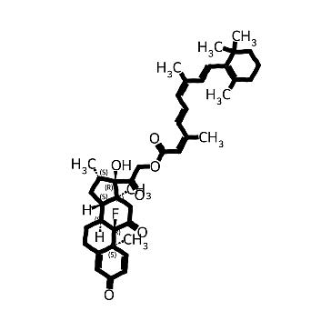 CC(C=CC1=C(C)CCCC1(C)C)=CC=CC(C)=CC(=O)OCC(=O)[C@@]1(O)[C@@H](C)C[C@H]2[C@@H]3CCC4=CC(=O)C=C[C@]4(C)[C@@]3(F)C(=O)C[C@@]21C